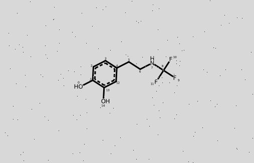 Oc1ccc(CCNC(F)(F)F)cc1O